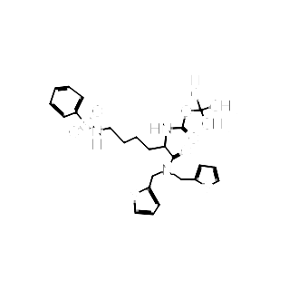 CC(C)(C)OC(=O)NC(CCCCNS(=O)(=O)c1ccccc1)C(=O)N(Cc1cccs1)Cc1cccs1